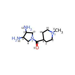 CN1CCC(C(=O)N2CC(N)C(N)C2)CC1